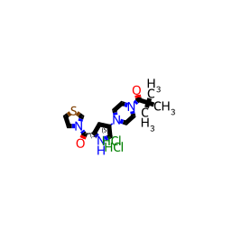 CC(C)(C)C(=O)N1CCN([C@@H]2CN[C@H](C(=O)N3CCSC3)C2)CC1.Cl.Cl